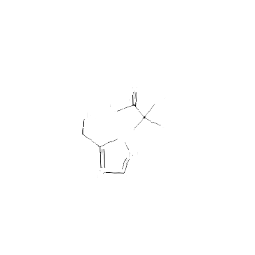 CC(C)(C)Cc1ncno1.O=C(O)C(F)(F)F